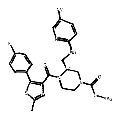 Cc1nc(C(=O)N2CCN(C(=O)OC(C)(C)C)C[C@@H]2CNc2ccc(C#N)cn2)c(-c2ccc(F)cc2)s1